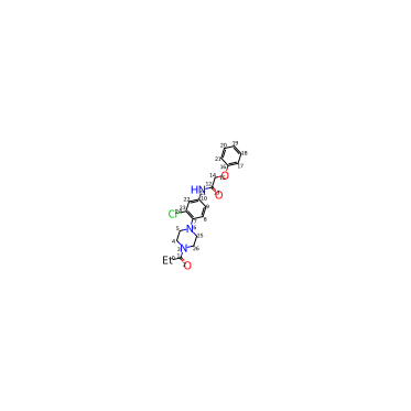 CCC(=O)N1CCN(c2ccc(NC(=O)COc3ccccc3)cc2Cl)CC1